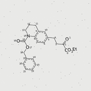 CCOC(=O)C(=O)CCc1ccc2c(c1)CCCN2C(=O)OCc1ccccc1